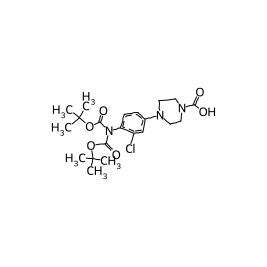 CC(C)(C)OC(=O)N(C(=O)OC(C)(C)C)c1ccc(N2CCN(C(=O)O)CC2)cc1Cl